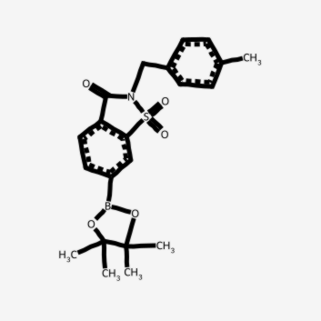 Cc1ccc(CN2C(=O)c3ccc(B4OC(C)(C)C(C)(C)O4)cc3S2(=O)=O)cc1